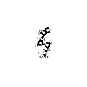 CC(C)(C)OC(=O)NC1CN(c2nc(Cl)cc3[nH]c(-c4cc5cnccc5[nH]c4=O)nc23)CC(F)(F)C1